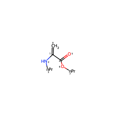 C=C(NCCC)C(=O)OCCC